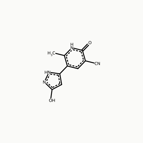 Cc1[nH]c(=O)c(C#N)cc1-c1cc(O)n[nH]1